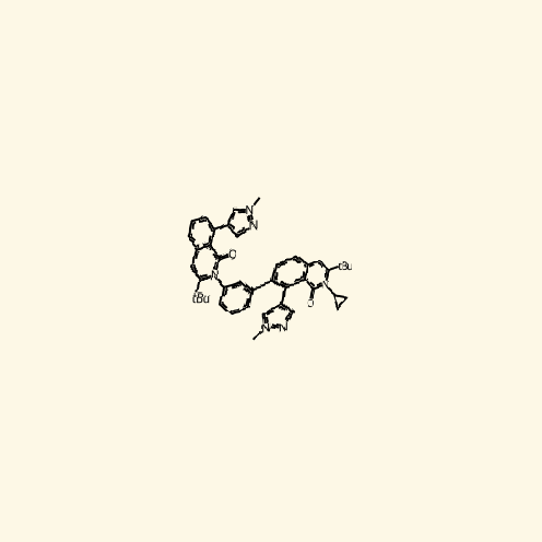 Cn1cc(-c2cccc3cc(C(C)(C)C)n(-c4cccc(-c5ccc6cc(C(C)(C)C)n(C7CC7)c(=O)c6c5-c5cnn(C)c5)c4)c(=O)c23)cn1